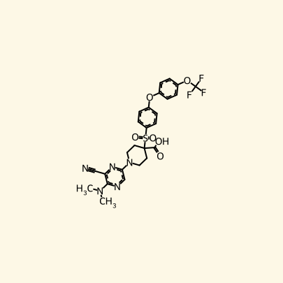 CN(C)c1ncc(N2CCC(C(=O)O)(S(=O)(=O)c3ccc(Oc4ccc(OC(F)(F)F)cc4)cc3)CC2)nc1C#N